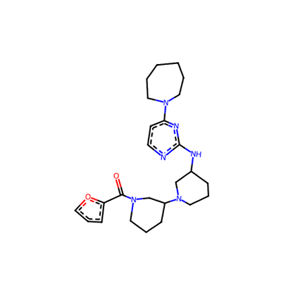 O=C(c1ccco1)N1CCCC(N2CCCC(Nc3nccc(N4CCCCCC4)n3)C2)C1